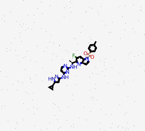 Cc1ccc(S(=O)(=O)n2ccc3nc([C@H](C)Nc4nccc(Nc5cc(C6CC6)[nH]n5)n4)c(F)cc32)cc1